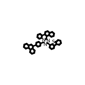 c1ccc(-c2ccc3ccccc3c2-c2nc(-c3ccc(-c4cc5ccccc5c5ccccc45)cc3)nc(-c3cccc4c3sc3ccccc34)n2)cc1